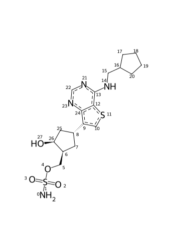 NS(=O)(=O)OC[C@@H]1C[C@@H](c2csc3c(NCC4CCCC4)ncnc23)C[C@@H]1O